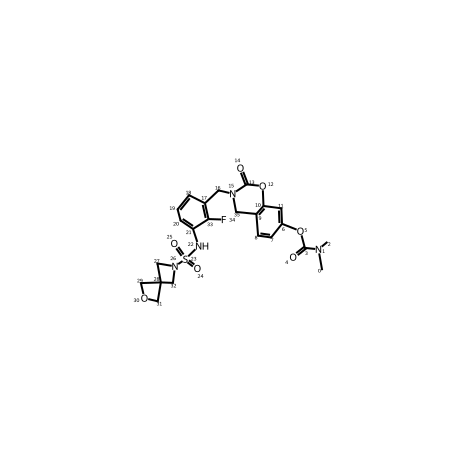 CN(C)C(=O)Oc1ccc2c(c1)OC(=O)N(Cc1cccc(NS(=O)(=O)N3CC4(COC4)C3)c1F)C2